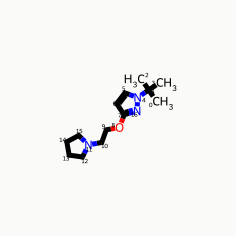 CC(C)(C)n1ccc(OCCN2CCCC2)n1